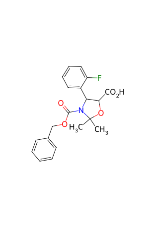 CC1(C)OC(C(=O)O)C(c2ccccc2F)N1C(=O)OCc1ccccc1